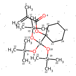 C=C(C)C(=O)OC1([Si](O[Si](C)(C)C)(O[Si](C)(C)C)O[Si](C)(C)C)CCCCC1